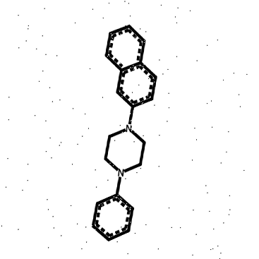 c1ccc(N2CCN(c3ccc4ccccc4c3)CC2)cc1